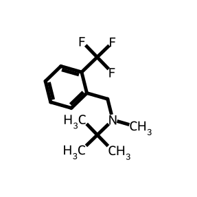 CN(Cc1ccccc1C(F)(F)F)C(C)(C)C